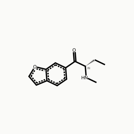 CC[C@H](NC)C(=O)c1ccc2ccoc2c1